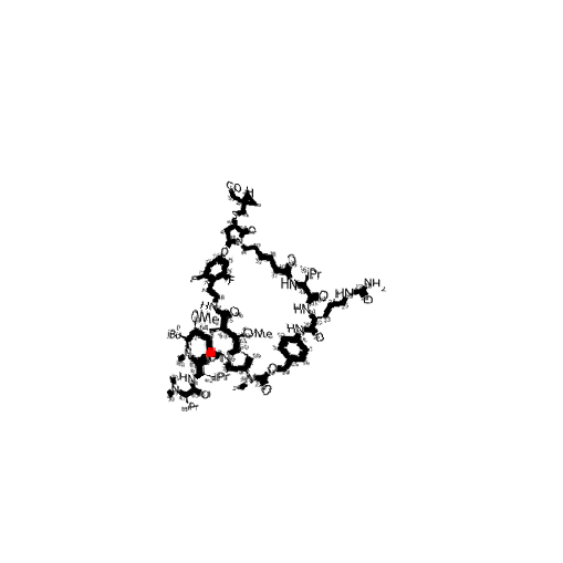 CC[C@H](C)[C@@H]([C@@H](CC(=O)N1C[C@@H](N(C)C(=O)OCc2ccc(NC(=O)[C@H](CCCNC(N)=O)NC(=O)[C@@H](NC(=O)CCCCCN3C(=O)CC(SCC4(CC(=O)O)CC4)C3=O)C(C)C)cc2)C[C@H]1[C@H](OC)[C@@H](C)C(=O)NCCc1c(F)cccc1F)OC)N(C)C(=O)[C@@H](NC(=O)[C@H](C(C)C)N(C)C)C(C)C